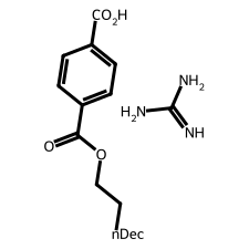 CCCCCCCCCCCCOC(=O)c1ccc(C(=O)O)cc1.N=C(N)N